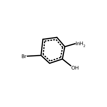 Oc1cc(Br)cc[c]1[InH2]